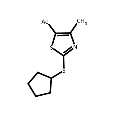 CC(=O)c1sc(SC2CCCC2)nc1C